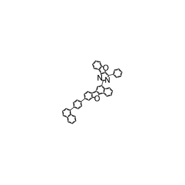 c1ccc(-c2nc(-c3cc4c5ccc(-c6ccc(-c7cccc8ccccc78)cc6)cc5oc4c4ccccc34)nc3c2oc2ccccc23)cc1